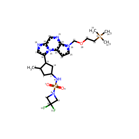 CC1CC(NS(=O)(=O)N2CC(F)(F)C2)CC1c1cnc2cnc3c(ccn3COCCS(C)(C)C)n12